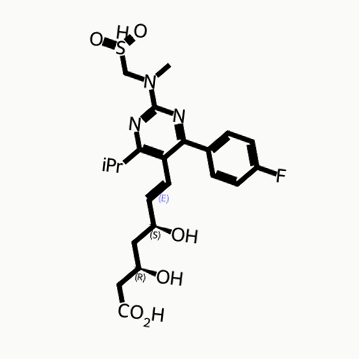 CC(C)c1nc(N(C)C[SH](=O)=O)nc(-c2ccc(F)cc2)c1/C=C/[C@@H](O)C[C@@H](O)CC(=O)O